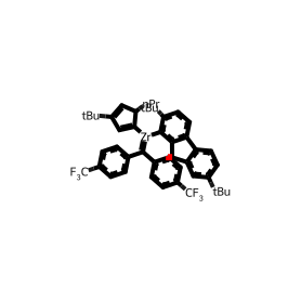 CCCC1C=C(C(C)(C)C)C=[C]1[Zr](=[C](c1ccc(C(F)(F)F)cc1)c1ccc(C(F)(F)F)cc1)[c]1c(C(C)(C)C)ccc2c1Cc1cc(C(C)(C)C)ccc1-2